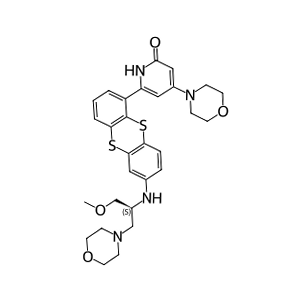 COC[C@H](CN1CCOCC1)Nc1ccc2c(c1)Sc1cccc(-c3cc(N4CCOCC4)cc(=O)[nH]3)c1S2